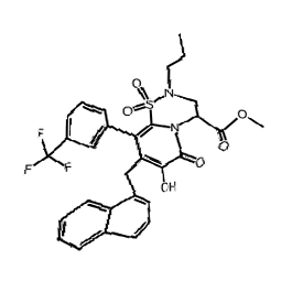 CCCN1CC(C(=O)OC)n2c(c(-c3cccc(C(F)(F)F)c3)c(Cc3cccc4ccccc34)c(O)c2=O)S1(=O)=O